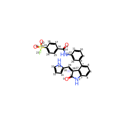 O=C1Nc2cccc(-c3cccc(NC(=O)c4ccc(S(=O)(=O)F)cc4)c3)c2/C1=C/c1ccc[nH]1